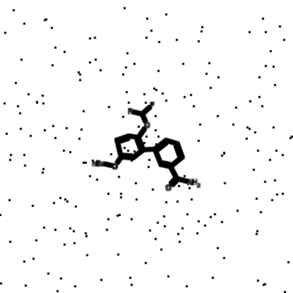 CCCCOc1ccc(OC(F)F)c(-c2cccc(C(N)=O)c2)c1